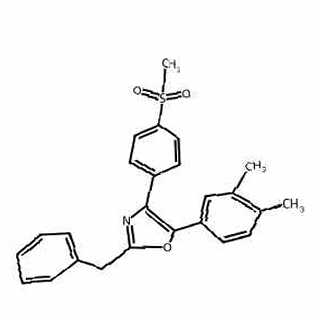 Cc1ccc(-c2oc(Cc3ccccc3)nc2-c2ccc(S(C)(=O)=O)cc2)cc1C